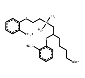 CCCCCCCCCCCCCCC(C[N+](C)(C)CCSc1ccccc1C(=O)O)Sc1ccccc1C(=O)O